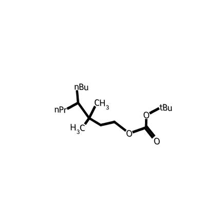 CCCCC(CCC)C(C)(C)CCOC(=O)OC(C)(C)C